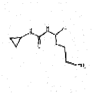 CCCCC(C)NC(=O)NC1CC1